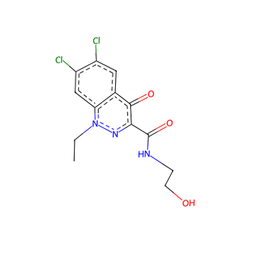 CCn1nc(C(=O)NCCO)c(=O)c2cc(Cl)c(Cl)cc21